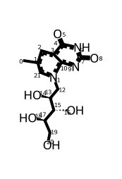 Cc1cc2c(=O)[nH]c(=O)nc-2n(C[C@H](O)[C@H](O)[C@H](O)CO)c1